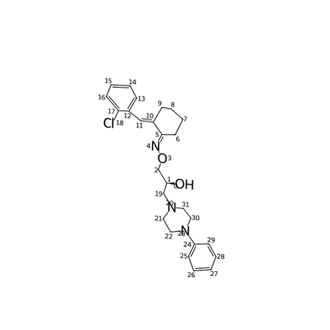 O[C@H](CO/N=C1\CCCC\C1=C/c1ccccc1Cl)CN1CCN(c2ccccc2)CC1